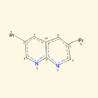 CC(C)c1cnc2ncc(C(C)C)cc2c1